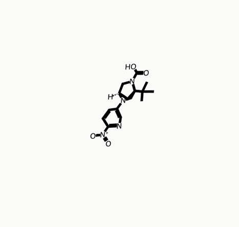 CC(C)(C)C12C[C@H](CN1C(=O)O)N(c1ccc([N+](=O)[O-])nc1)C2